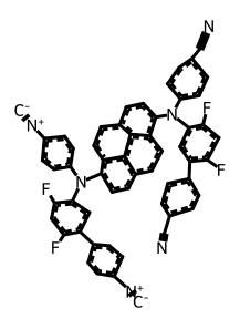 [C-]#[N+]c1ccc(-c2cc(N(c3ccc([N+]#[C-])cc3)c3ccc4ccc5c(N(c6ccc(C#N)cc6)c6cc(-c7ccc(C#N)cc7)c(F)cc6F)ccc6ccc3c4c65)c(F)cc2F)cc1